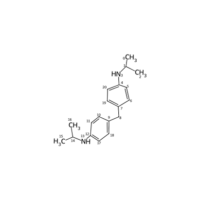 CC(C)Nc1ccc(Cc2ccc(NC(C)C)cc2)cc1